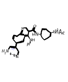 CC(=O)N[C@H]1CC[C@H](NC(=O)c2cnc3ccc(/C(C=N)=C/N)cc3c2NC(C)C)CC1